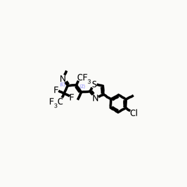 C/N=C(\C(=C(/C)c1nc(-c2ccc(Cl)c(C)c2)cs1)C(F)(F)F)C(F)(F)C(F)(F)F